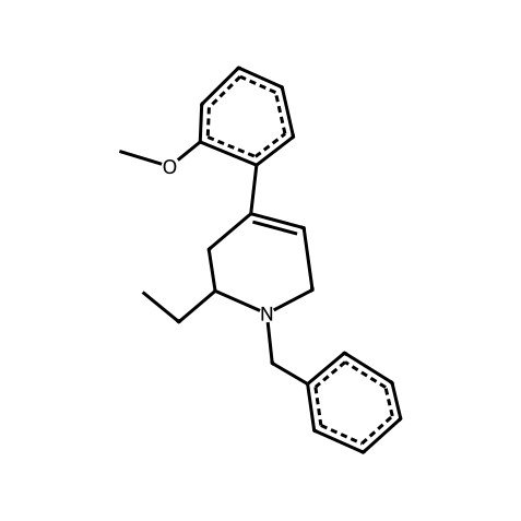 CCC1CC(c2ccccc2OC)=CCN1Cc1ccccc1